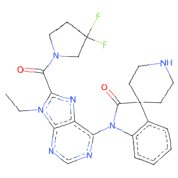 CCn1c(C(=O)N2CCC(F)(F)C2)nc2c(N3C(=O)C4(CCNCC4)c4ccccc43)ncnc21